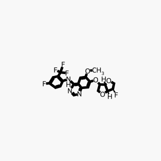 COc1cc2c(Nc3ccc(F)cc3C(F)(F)F)ncnc2cc1OC1CO[C@H]2[C@H](F)CO[C@@H]12